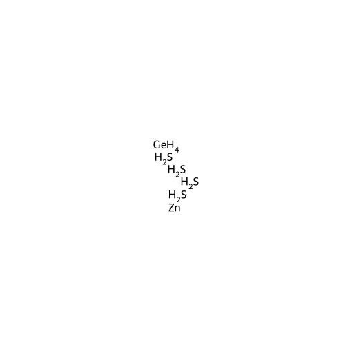 S.S.S.S.[GeH4].[Zn]